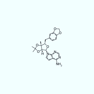 CC1(C)O[C@H]2[C@H](n3ccc4c(N)ncnc43)O[C@H](Cc3ccc4c(c3)OCO4)[C@@]2(C)O1